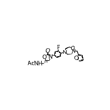 CC(=O)NC[C@H]1CN(c2ccc(N3CCON(Cc4ccco4)CC3)c(F)c2)C(=O)O1